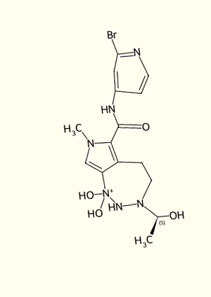 C[C@H](O)N1CCc2c(cn(C)c2C(=O)Nc2ccnc(Br)c2)[N+](O)(O)N1